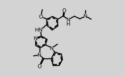 COc1cc(C(=O)NCCN(C)C)ccc1Nc1cc2c(cn1)N(C)C(=O)c1ccccc1N2C